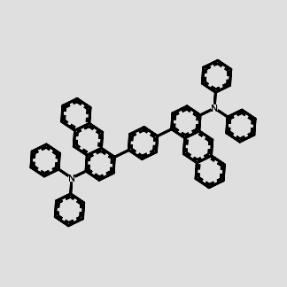 c1ccc(N(c2ccccc2)c2ccc(-c3ccc(-c4ccc(N(c5ccccc5)c5ccccc5)c5cc6ccccc6cc45)cc3)c3cc4ccccc4cc23)cc1